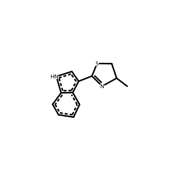 CC1CSC(c2c[nH]c3ccccc23)=N1